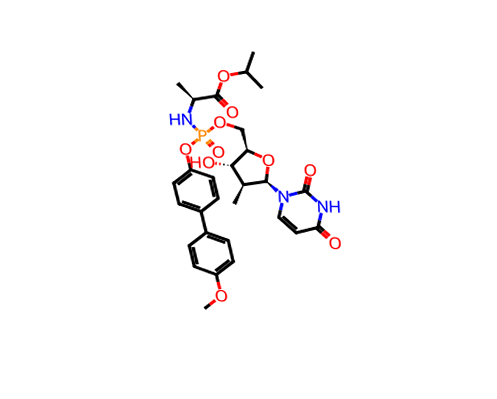 COc1ccc(-c2ccc(OP(=O)(N[C@@H](C)C(=O)OC(C)C)OC[C@H]3O[C@@H](n4ccc(=O)[nH]c4=O)[C@@H](C)[C@@H]3O)cc2)cc1